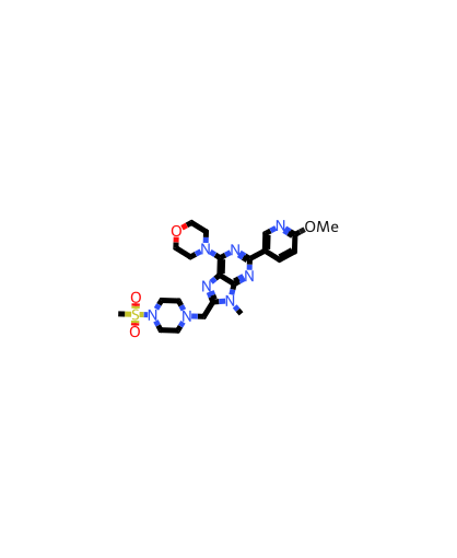 COc1ccc(-c2nc(N3CCOCC3)c3nc(CN4CCN(S(C)(=O)=O)CC4)n(C)c3n2)cn1